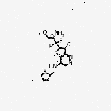 N[C@@H](CO)C(F)(F)c1sc2c(NCc3cccs3)cnnc2c1Cl